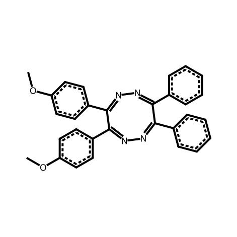 COc1ccc(C2=N/N=C(c3ccccc3)\C(c3ccccc3)=N/N=C\2c2ccc(OC)cc2)cc1